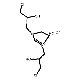 Cl.OC(CCl)CN1C=[N+](CC(O)CCl)CC1.[Cl-]